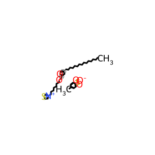 CCCCCCCCCCCCCCCC[C@H]1CO[C@H](COCCCCCCC[n+]2ccsc2)C1.Cc1ccc(S(=O)(=O)[O-])cc1